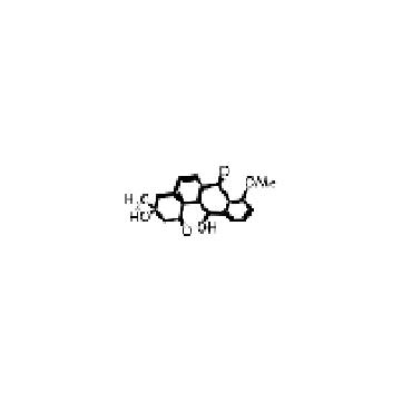 COc1cccc2c1C(=O)c1ccc3c(c1C2O)C(=O)C[C@](C)(O)C3